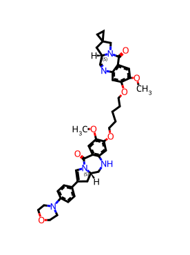 COc1cc2c(cc1OCCCCCOc1cc3c(cc1OC)C(=O)N1C=C(c4ccc(N5CCOCC5)cc4)C[C@H]1CN3)N=C[C@@H]1CC3(CC3)CN1C2=O